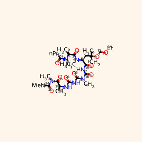 C=C(C(=O)N(C)[C@@H](CC(C)(C)OCOCC)C(=O)NC(=O)N(C)C(=O)NC(=O)NC(C)C(=O)N(C)C(=O)NC)N(C)C(=O)CCC